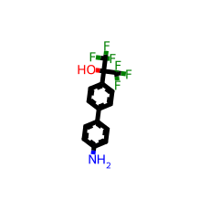 Nc1ccc(-c2ccc(C(O)(C(F)(F)F)C(F)(F)F)cc2)cc1